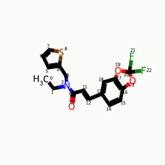 CCN(Cc1cccs1)C(=O)C=Cc1ccc2c(c1)OC(F)(F)O2